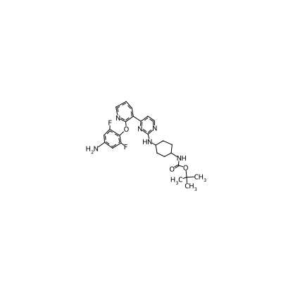 CC(C)(C)OC(=O)NC1CCC(Nc2nccc(-c3cccnc3Oc3c(F)cc(N)cc3F)n2)CC1